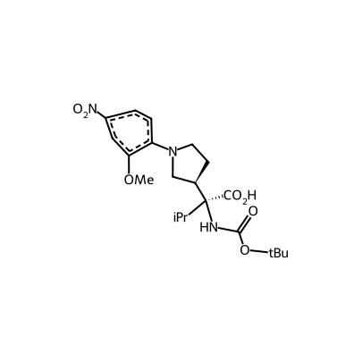 COc1cc([N+](=O)[O-])ccc1N1CC[C@@H]([C@](NC(=O)OC(C)(C)C)(C(=O)O)C(C)C)C1